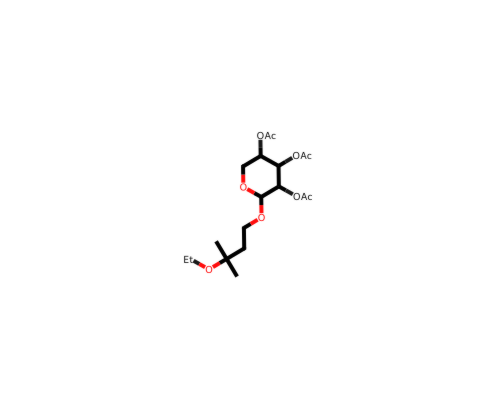 CCOC(C)(C)CCOC1OCC(OC(C)=O)C(OC(C)=O)C1OC(C)=O